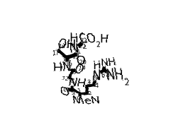 CNC(CCCNC(=N)N)C(=O)NCC(=O)NC(CO)C(=O)NCC(=O)O